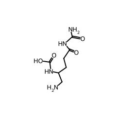 NCC(CCC(=O)NC(N)=O)NC(=O)O